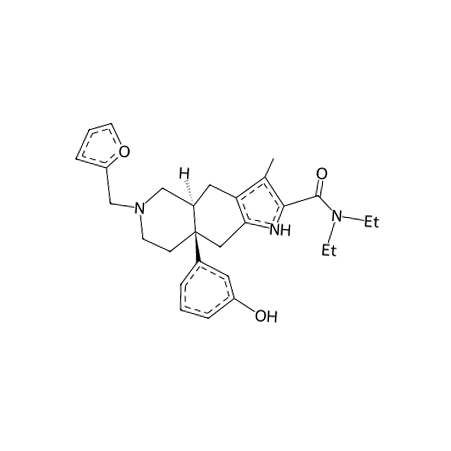 CCN(CC)C(=O)c1[nH]c2c(c1C)C[C@@H]1CN(Cc3ccco3)CC[C@@]1(c1cccc(O)c1)C2